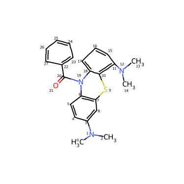 CN(C)c1ccc2c(c1)Sc1c(N(C)C)cccc1N2C(=O)c1ccccc1